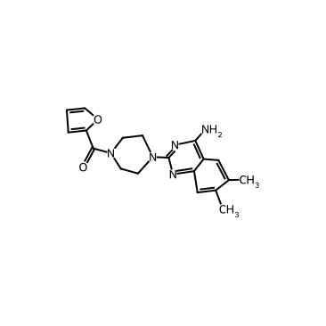 Cc1cc2nc(N3CCN(C(=O)c4ccco4)CC3)nc(N)c2cc1C